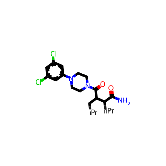 CCCC(C(N)=O)C(CC(C)C)C(=O)N1CCN(c2cc(Cl)cc(Cl)c2)CC1